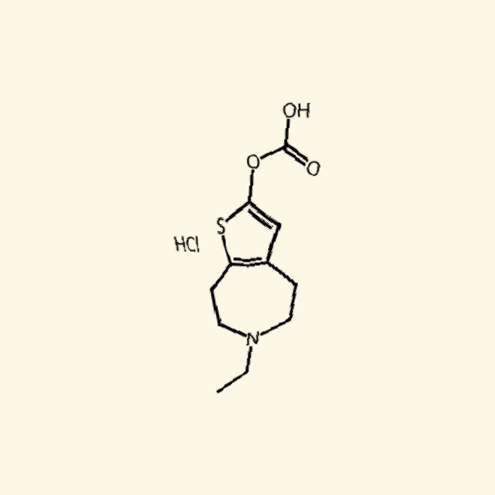 CCN1CCc2cc(OC(=O)O)sc2CC1.Cl